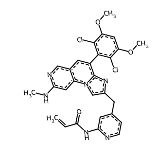 C=CC(=O)Nc1cc(Cc2cn3c(n2)c(-c2c(Cl)c(OC)cc(OC)c2Cl)cc2cnc(NC)cc23)ccn1